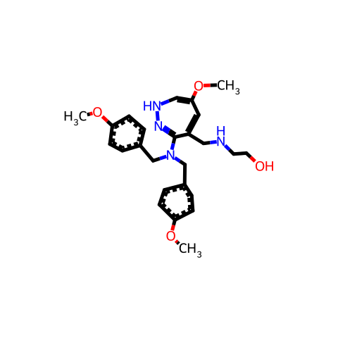 COC1=CNN=C(N(Cc2ccc(OC)cc2)Cc2ccc(OC)cc2)C(CNCCO)=C1